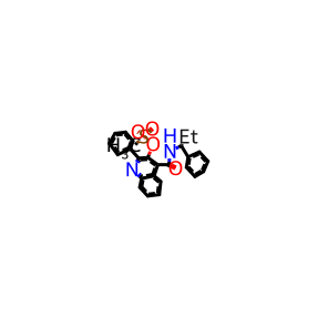 CCC(NC(=O)c1c(OS(C)(=O)=O)c(-c2ccccc2)nc2ccccc12)c1ccccc1